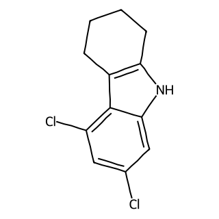 Clc1cc(Cl)c2c3c([nH]c2c1)CCCC3